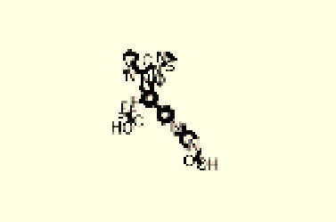 O=C(O)C(F)(F)F.O=C(O)CN1CCC2(CC1)CN(c1ccc(-c3cc(F)c4c(c3)C(=O)N(C(C(=O)Nc3nccs3)c3ncn5c3CCC5)C4)cc1)C2